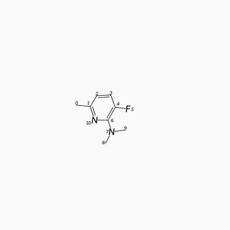 Cc1ccc(F)c(N(C)C)n1